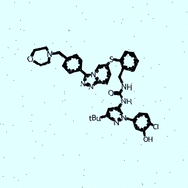 CC(C)(C)c1cc(NC(=O)NCc2ccccc2Sc2ccc3nnc(-c4ccc(CN5CCOCC5)cc4)n3c2)n(-c2ccc(Cl)c(O)c2)n1